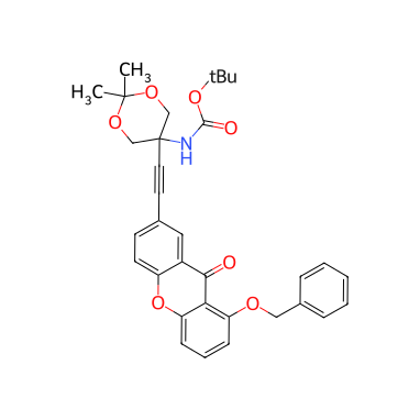 CC(C)(C)OC(=O)NC1(C#Cc2ccc3oc4cccc(OCc5ccccc5)c4c(=O)c3c2)COC(C)(C)OC1